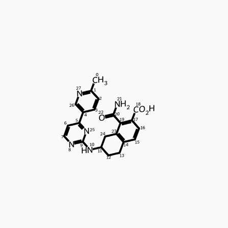 Cc1ccc(-c2ccnc(NC3CCc4ccc(C(=O)O)c(C(N)=O)c4C3)n2)cn1